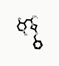 CC(=O)N1CCC(C(C)C)C(CC(C)N2CC(OCc3ccccc3)C2)C1